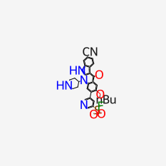 CCCCOc1cc2c(=O)c3c4ccc(C#N)cc4[nH]c3n(C3CCNCC3)c2cc1-c1cncc(S(=O)(=O)F)c1